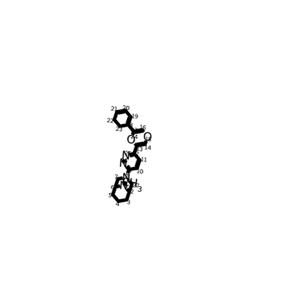 CN1C2CCCC1CN(c1ccc(C3=COC=C(C4=CC=CCC4)O3)nn1)C2